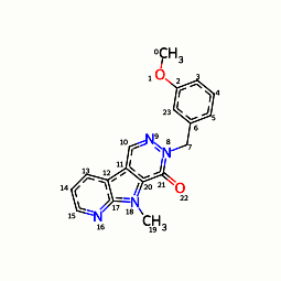 COc1cccc(Cn2ncc3c4cccnc4n(C)c3c2=O)c1